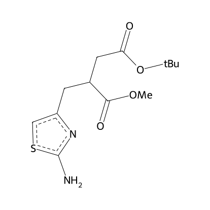 COC(=O)C(CC(=O)OC(C)(C)C)Cc1csc(N)n1